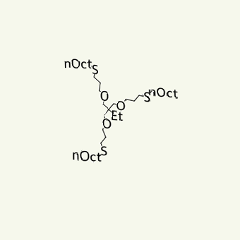 CCCCCCCCSCCCOCC(CC)(COCCCSCCCCCCCC)COCCCSCCCCCCCC